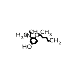 C=CCC[C@H](C)Oc1ccc(O)cc1N(C)C